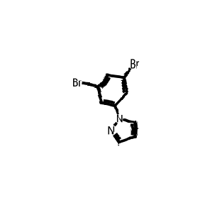 Brc1cc(Br)cc(-n2cc[c]n2)c1